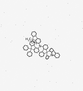 CC1(C)c2ccccc2-c2ccc(N(c3cccc4c3-c3ccccc3C4(c3ccccc3)c3ccccc3)c3cccc4c3-c3ccccc3C43c4ccccc4-n4c5ccccc5c5cccc3c54)cc21